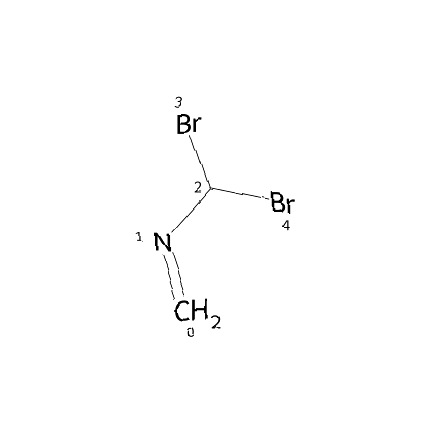 C=NC(Br)Br